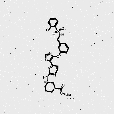 CC(C)(C)OC(=O)N1CCC[C@H](Nc2nccc(-c3scnc3Oc3cccc(CNS(=O)(=O)c4ccccc4Cl)c3)n2)C1